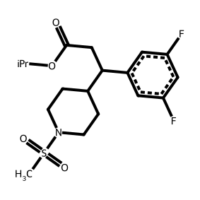 CC(C)OC(=O)CC(c1cc(F)cc(F)c1)C1CCN(S(C)(=O)=O)CC1